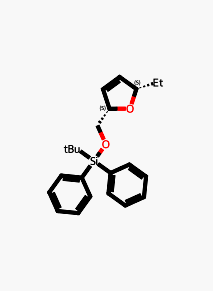 CC[C@H]1C=C[C@@H](CO[Si](c2ccccc2)(c2ccccc2)C(C)(C)C)O1